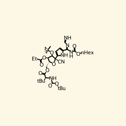 CCCCCCOC(=O)N/C(=N/C=N)c1ccc([C@]2(C#N)O[C@H](COC(=O)[C@@H](NC(=O)OC(C)(C)C)C(C)(C)C)[C@@H](OC(=O)CC)C2O[Si](C)(C)C)[nH]1